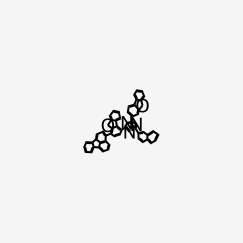 c1ccc2c(c1)-c1cccc3c(-c4ccc(-c5nc(-c6ccc7ccccc7c6)nc(-c6ccc7c(c6)oc6ccccc67)n5)c5c4oc4ccccc45)ccc-2c13